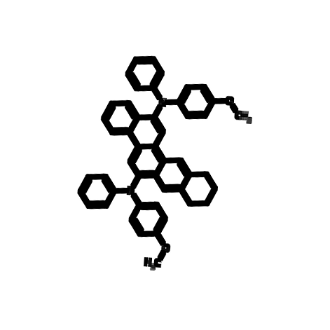 COc1ccc(N(c2ccccc2)c2cc3c4cc5c(cc4c(N(c4ccccc4)c4ccc(OC)cc4)cc3c3ccccc23)CCCC5)cc1